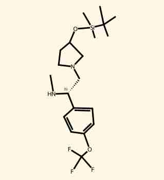 CN[C@H](CN1CCC(O[Si](C)(C)C(C)(C)C)C1)c1ccc(OC(F)(F)F)cc1